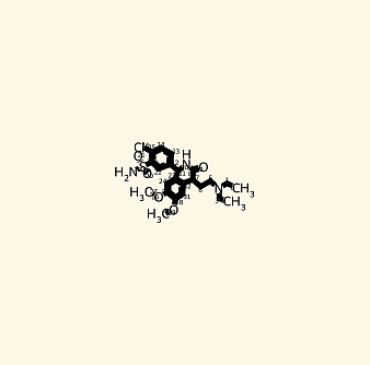 CCN(CC)CCC1C(=O)NC(c2ccc(Cl)c(S(N)(=O)=O)c2)c2cc(OC)c(OC)cc21